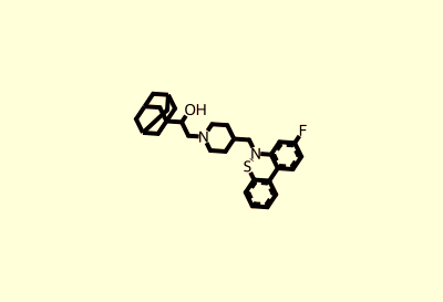 OC(CN1CCC(CN2Sc3ccccc3-c3ccc(F)cc32)CC1)C12CC3CC(CC(C3)C1)C2